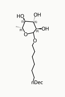 CCCCCCCCCCCCCCCCOC1O[C@H](C)[C@@H](O)[C@H](O)[C@H]1O